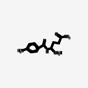 NC(=O)CCC(NC(=O)c1ccc(N)cc1)C(=O)O